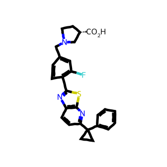 O=C(O)[C@H]1CCN(Cc2ccc(-c3nc4ccc(C5(c6ccccc6)CC5)nc4s3)c(F)c2)C1